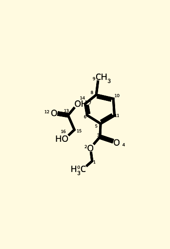 CCOC(=O)c1ccc(C)cc1.O=C(O)CO